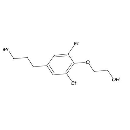 CCc1cc(CCCC(C)C)cc(CC)c1OCCO